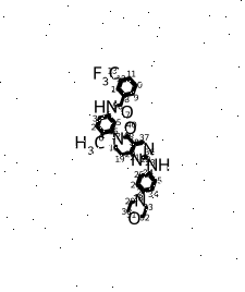 Cc1ccc(NC(=O)c2cccc(C(F)(F)F)c2)cc1N1CCc2nc(Nc3ccc(N4CCOCC4)cc3)ncc2C1=O